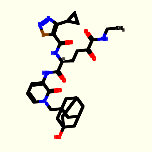 CCNC(=O)C(=O)CC[C@H](NC(=O)c1snnc1C1CC1)C(=O)Nc1cccn(CC23CC4CC(CC(O)(C4)C2)C3)c1=O